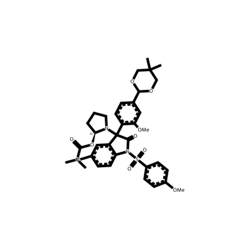 COc1ccc(S(=O)(=O)N2C(=O)C(c3ccc(C4OCC(C)(C)CO4)cc3OC)(N3CCC[C@@H]3OC(=O)N(C)C)c3cc(Cl)ccc32)cc1